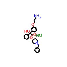 Cl.Cl.NCCCOc1cccc([C@](O)(C(=O)OC2CCN(Cc3ccccc3)CC2)c2ccccc2)c1